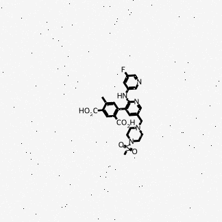 Cc1cc(-c2cc(CN3CCN(S(C)(=O)=O)CC3)cnc2Nc2cncc(F)c2)c(C(=O)O)cc1C(=O)O